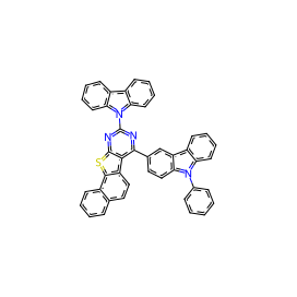 c1ccc(-n2c3ccccc3c3cc(-c4nc(-n5c6ccccc6c6ccccc65)nc5sc6c7ccccc7ccc6c45)ccc32)cc1